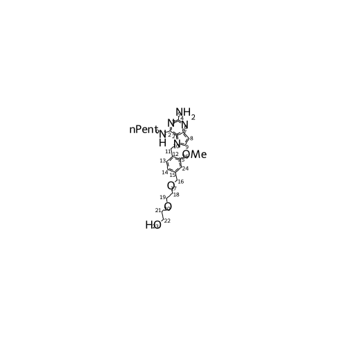 CCCCCNc1nc(N)nc2ccn(Cc3ccc(COCCOCCO)cc3OC)c12